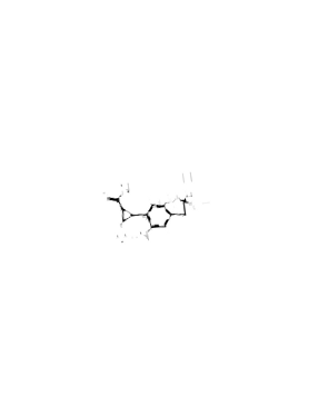 CNc1cc2c(cc1C1CC1C(N)=O)OC(C)(C)C2